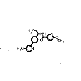 CCC(NC(=O)c1ccc(OC)nc1)C1CCC(c2cc(C)ccn2)CC1